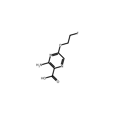 Nc1nc(OCCF)cnc1C(=O)O